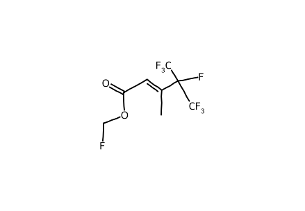 C/C(=C\C(=O)OCF)C(F)(C(F)(F)F)C(F)(F)F